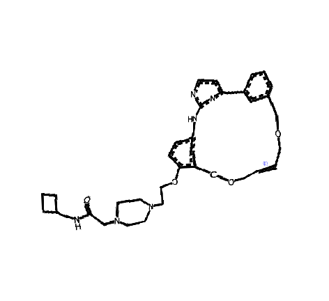 O=C(CN1CCN(CCOc2ccc3cc2COC/C=C/COCc2cccc(c2)-c2ccnc(n2)N3)CC1)NC1CCC1